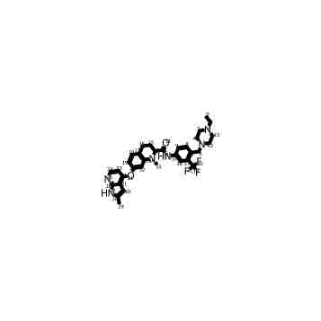 CCN1CCN(Cc2ccc(NC(=O)C3CCc4ccc(Oc5ccnc6[nH]c(C)cc56)cc4N3C)cc2C(F)(F)F)CC1